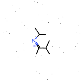 C/C(=N/C(C)C)C(C)C